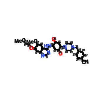 COCCOc1cc2ncnc(NC3=CC(=O)C(N4CCN(Cc5ccc(C#N)cc5)CC4)=CC3=O)c2cc1OC